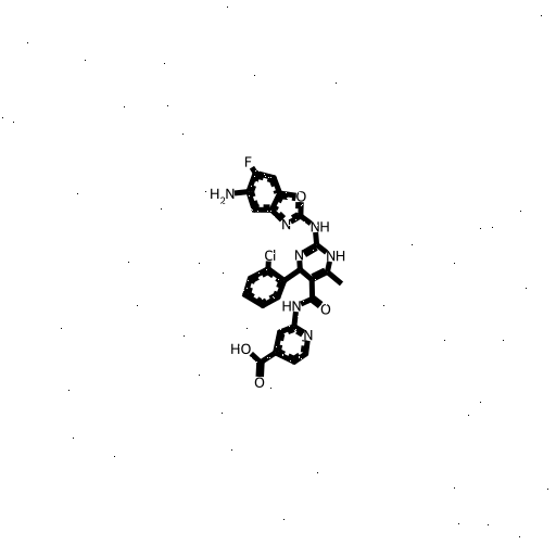 CC1=C(C(=O)Nc2cc(C(=O)O)ccn2)C(c2ccccc2Cl)N=C(Nc2nc3cc(N)c(F)cc3o2)N1